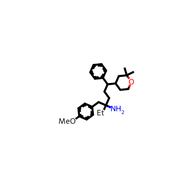 CCC(N)(CCC(c1ccccc1)C1CCOC(C)(C)C1)Cc1ccc(OC)cc1